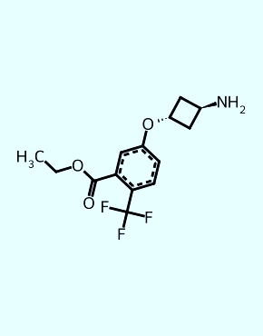 CCOC(=O)c1cc(O[C@H]2C[C@H](N)C2)ccc1C(F)(F)F